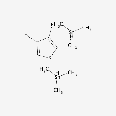 Fc1[c]scc1F.[CH3][SnH]([CH3])[CH3].[CH3][SnH]([CH3])[CH3]